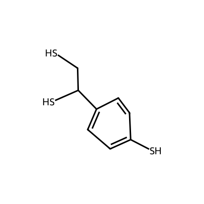 SCC(S)c1ccc(S)cc1